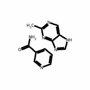 Cc1ncc2[nH]cnc2n1.NC(=O)c1cccnc1